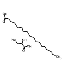 CCCCCCCCCCCCCCCCCC(=O)O.O=C(O)C(O)CO